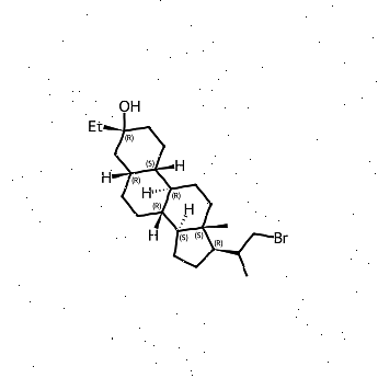 CC[C@@]1(O)CC[C@H]2[C@H](CC[C@@H]3[C@@H]2CC[C@]2(C)[C@@H](C(C)CBr)CC[C@@H]32)C1